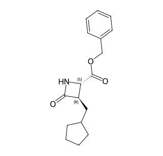 O=C(OCc1ccccc1)[C@H]1NC(=O)[C@@H]1CC1CCCC1